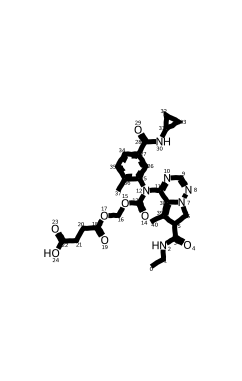 CCNC(=O)C1CN2N=CN=C(N(C(=O)OCOC(=O)CCC(=O)O)c3cc(C(=O)NC4CC4)ccc3C)C2=C1C